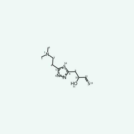 CN(C)CCc1nnc(CC(O)[C]=S)s1